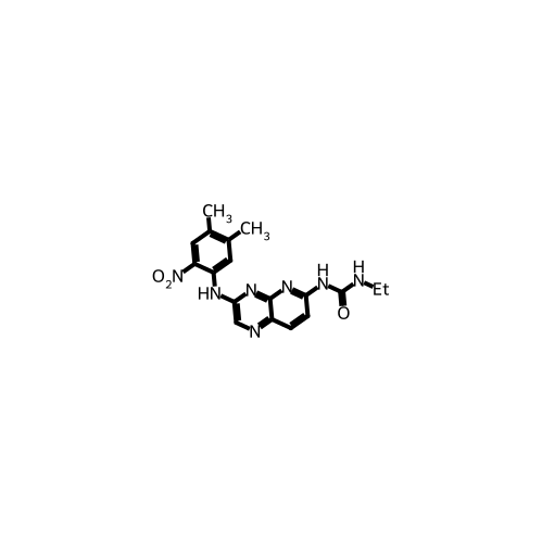 CCNC(=O)Nc1ccc2ncc(Nc3cc(C)c(C)cc3[N+](=O)[O-])nc2n1